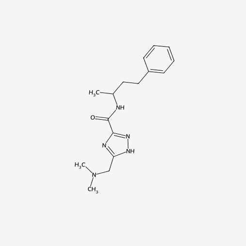 CC(CCc1ccccc1)NC(=O)c1n[nH]c(CN(C)C)n1